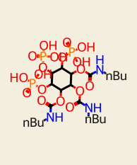 CCCCNC(=O)OC1C(OC(=O)NCCCC)C(OP(=O)(O)O)C(OP(=O)(O)O)C(OP(=O)(O)O)C1OC(=O)NCCCC